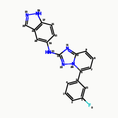 Fc1cccc(-c2cccc3nc(Nc4ccc5[nH]ncc5c4)nn23)c1